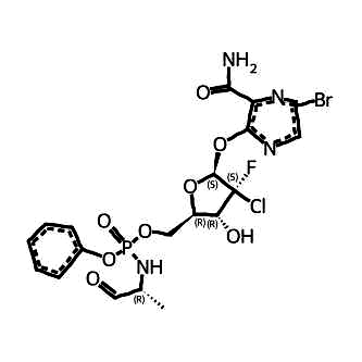 C[C@H](C=O)NP(=O)(OC[C@H]1O[C@@H](Oc2ncc(Br)nc2C(N)=O)[C@@](F)(Cl)[C@@H]1O)Oc1ccccc1